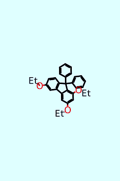 CCOc1ccc2c(c1)-c1cc(OCC)cc(OCC)c1C2(c1ccccc1)c1ccccc1